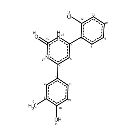 Cc1cc(-c2cc(-c3ccccc3Cl)[nH]c(=O)n2)ccc1O